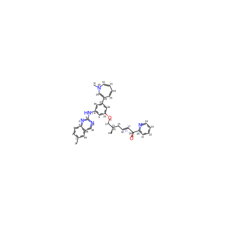 Cc1ccc2nc(Nc3cc(OC[C@H](C)C/C=C/C(=O)c4ccccn4)cc(C4=CN(C)C=CC=C4)c3)ncc2c1